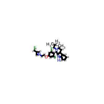 CC(C)CN1[C@H](c2c(F)cc(OCCN3CC(CF)C3)cc2F)c2[nH]c3ccccc3c2C[C@H]1C